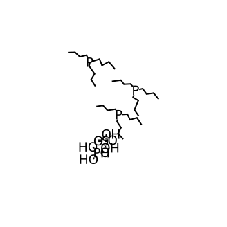 CCCCP(CCCC)CCCC.CCCCP(CCCC)CCCC.CCCCP(CCCC)CCCC.O=S(=O)(O)O.O=[PH](O)O